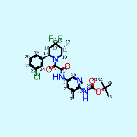 Cc1cc(NC(=O)C(=O)N2C[C@@H](C)C(F)(F)C[C@@H]2c2cccc(Cl)c2)cnc1NC(=O)OC(C)(C)C